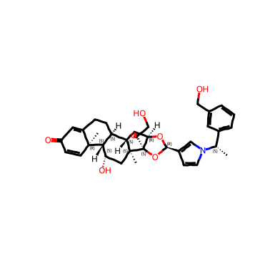 C[C@@H](c1cccc(CO)c1)n1ccc([C@@H]2O[C@@H]3C[C@H]4[C@@H]5CCC6=CC(=O)C=C[C@]6(C)[C@H]5[C@@H](O)C[C@]4(C)[C@]3(C(=O)CO)O2)c1